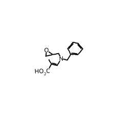 CC(=CN(Cc1ccccc1)CC1CO1)C(=O)O